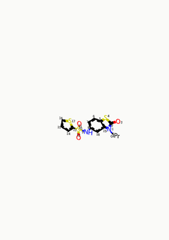 CC(C)n1c(=O)sc2ccc(NS(=O)(=O)c3cccs3)cc21